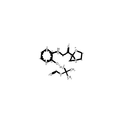 CC(C)(C)OC=O.O=C(CNc1nccnc1Cl)C12CN1CCO2